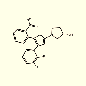 O=C(O)c1ccccc1-c1sc(N2CC[C@H](O)C2)cc1-c1cccc(F)c1F